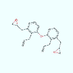 C=CCc1c(Oc2[c]ccc(CC3CO3)c2CC=C)[c]ccc1CC1CO1